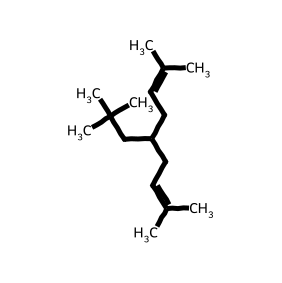 CC(C)=CCC(CC=C(C)C)CC(C)(C)C